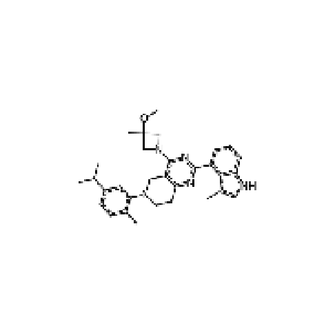 COC1(C)CN(c2nc(-c3cccc4[nH]cc(C)c34)nc3c2CN(c2cc(C(C)C)ccc2C)CC3)C1